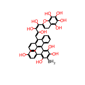 Bc1c(O)c(O)c(-c2c3ccccc3c(/C=C(O)/C(O)=C(/O)C3=CCc4c(O)c(O)c(O)c(O)c4O3)c3ccccc23)c(-c2ccc(O)cc2)c1O